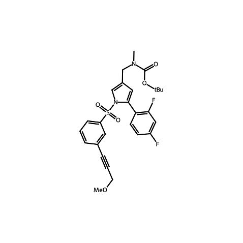 COCC#Cc1cccc(S(=O)(=O)n2cc(CN(C)C(=O)OC(C)(C)C)cc2-c2ccc(F)cc2F)c1